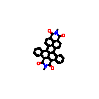 CN1C(=O)c2ccc3c4c2c(ccc4c2c4ccccc4c4c5c(c6ccccc6c3c52)C(=O)N(C)C4=O)C1=O